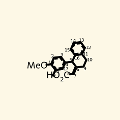 COc1ccc(C2/C(=C\C(=O)O)CCc3ccccc32)cc1C